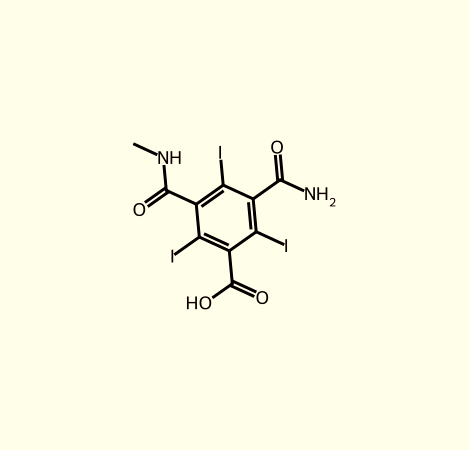 CNC(=O)c1c(I)c(C(N)=O)c(I)c(C(=O)O)c1I